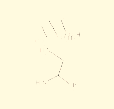 CC(=O)O.CC(=O)O.CC(=O)O.CCCC(N)CN